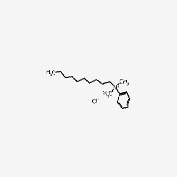 CCCCCCCCCC[N+](C)(C)c1ccccc1.[Cl-]